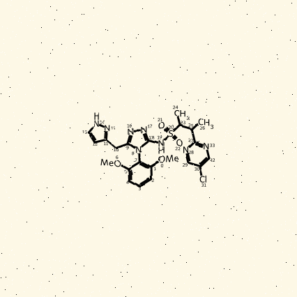 COc1cccc(OC)c1-n1c(Cc2cc[nH]n2)nnc1NS(=O)(=O)C(C)C(C)c1ncc(Cl)cn1